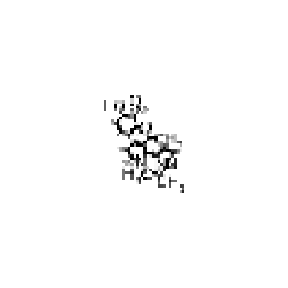 CC(Oc1cccc(O)c1C=O)c1cccnc1-c1ccnn1C(C)C